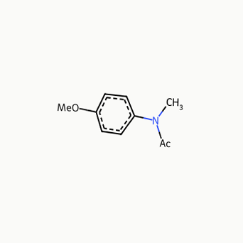 [CH2]C(=O)N(C)c1ccc(OC)cc1